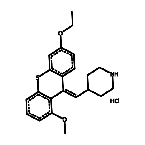 CCOc1ccc2c(c1)Sc1cccc(OC)c1C2=CC1CCNCC1.Cl